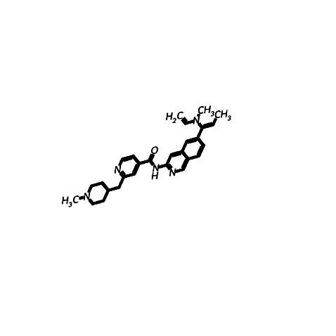 C=CN(C)/C(=C\C)c1ccc2cnc(NC(=O)c3ccnc(CC4CCN(C)CC4)c3)cc2c1